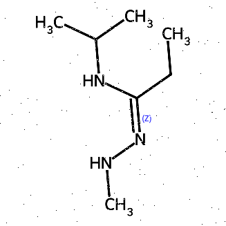 CC/C(=N/NC)NC(C)C